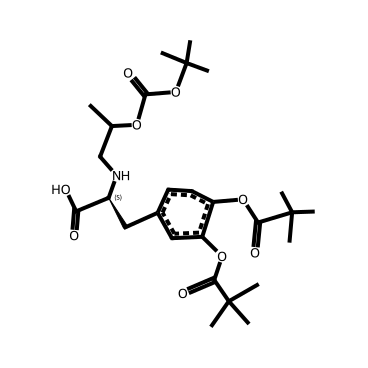 CC(CN[C@@H](Cc1ccc(OC(=O)C(C)(C)C)c(OC(=O)C(C)(C)C)c1)C(=O)O)OC(=O)OC(C)(C)C